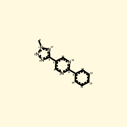 Cn1nnc(-c2cnc(-c3ccccc3)nc2)n1